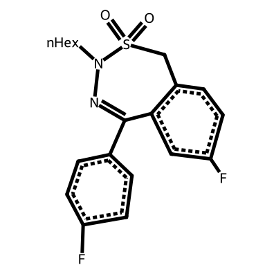 CCCCCCN1N=C(c2ccc(F)cc2)c2cc(F)ccc2CS1(=O)=O